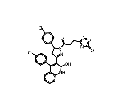 O=C(CCc1noc(=O)[nH]1)N1N=C(C2=C(c3ccc(Cl)cc3)c3ccccc3NC2O)CC1c1ccc(Cl)cc1